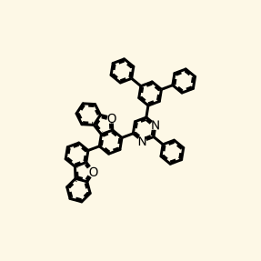 c1ccc(-c2cc(-c3ccccc3)cc(-c3cc(-c4ccc(-c5cccc6c5oc5ccccc56)c5c4oc4ccccc45)nc(-c4ccccc4)n3)c2)cc1